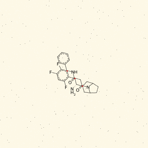 N[C@H](Cc1cc(F)c(F)cc1F)C1CC2CCC(C1)N2C(=O)CC(=O)NCc1ccccc1